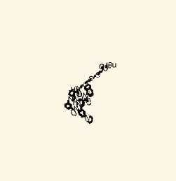 CC(C)(C)OC(=O)CCOCCOCCOCCNC(=O)c1cccc2c1ccn2Cc1cccc(C(=O)Nc2ccc(N3CCCCC3)cc2-c2cc(C(=O)N[C@H]3CCCc4ccccc43)ccn2)c1